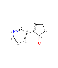 O=C1CCC=C1c1[c]nccc1